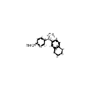 COc1ccc(N(C)c2ccc3c(c2)CCCC3)cn1